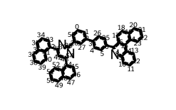 c1cc(-c2ccc(-c3nc4ccccc4c4c3ccc3ccccc34)cc2)cc(-c2nc(-c3cccc4ccccc34)cc(-c3cccc4ccccc34)n2)c1